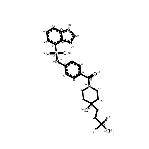 CC(F)(F)CCC1(O)CCN(C(=O)c2ccc(NS(=O)(=O)c3cccc4scnc34)cc2)CC1